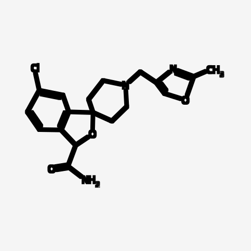 Cc1nc(CN2CCC3(CC2)OC(C(N)=O)c2ccc(Cl)cc23)co1